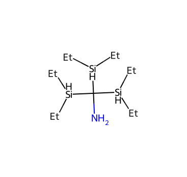 CC[SiH](CC)C(N)([SiH](CC)CC)[SiH](CC)CC